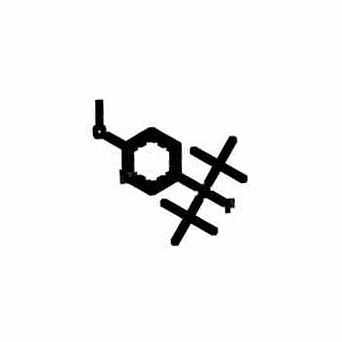 COc1ccc([Si](F)(C(C)(C)C)C(C)(C)C)cn1